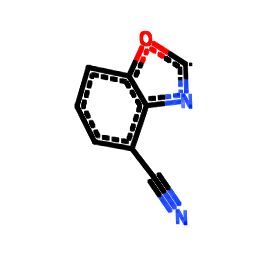 N#Cc1cccc2o[c]nc12